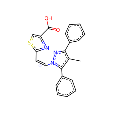 Cc1c(-c2ccccc2)nn(/C=C\c2nc(C(=O)O)cs2)c1-c1ccccc1